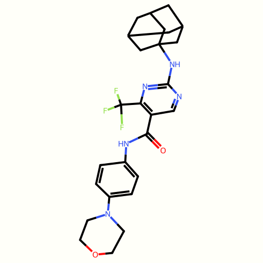 O=C(Nc1ccc(N2CCOCC2)cc1)c1cnc(NC23CC4CC(CC(C4)C2)C3)nc1C(F)(F)F